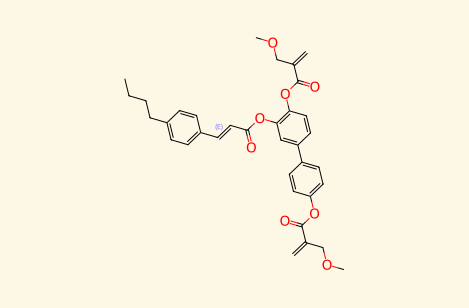 C=C(COC)C(=O)Oc1ccc(-c2ccc(OC(=O)C(=C)COC)c(OC(=O)/C=C/c3ccc(CCCC)cc3)c2)cc1